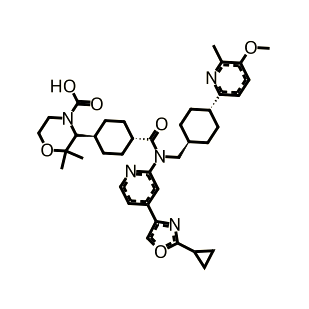 COc1ccc([C@H]2CC[C@H](CN(c3cc(-c4coc(C5CC5)n4)ccn3)C(=O)[C@H]3CC[C@H](C4N(C(=O)O)CCOC4(C)C)CC3)CC2)nc1C